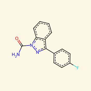 NC(=O)n1nc(-c2ccc(F)cc2)c2ccccc21